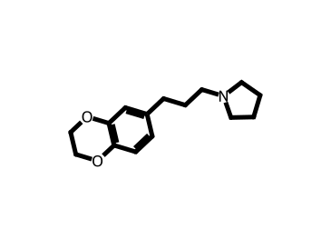 c1cc2c(cc1CCCN1CCCC1)OCCO2